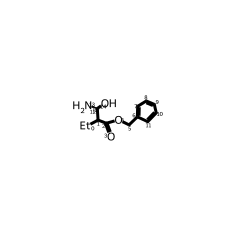 CCC(C(=O)OCc1ccccc1)[C@@H](N)O